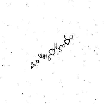 O=C(COc1ccc(Cl)c(F)c1)NN1CCC(C(=O)NNC(=O)[C@H]2C[C@@H](C(F)(F)F)C2)CC1